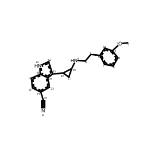 COc1cccc(CCNC2CC2c2c[nH]c3ccc(C#N)cc23)c1